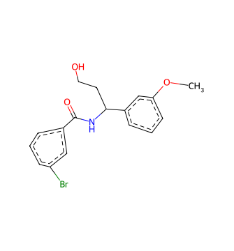 COc1cccc(C(CCO)NC(=O)c2cccc(Br)c2)c1